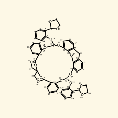 c1ccc(C2OCCO2)c(OP2Oc3ccccc3C3OCC4(COC(O4)c4ccccc4OP(Oc4ccccc4C4OCCO4)Oc4cccc5c4Oc4c(cccc4O2)C5)O3)c1